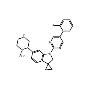 O=CN1CCNCC1c1ccc2c(c1)N(c1ncc(-c3ccccc3F)cn1)CC21CC1